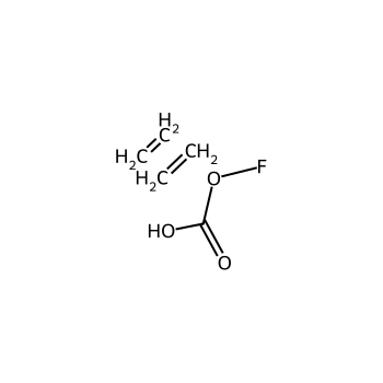 C=C.C=C.O=C(O)OF